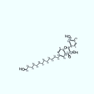 Cc1ccc(-c2oc3ccc(CCCCCCCCCCCCCO)cc3c(=O)c2O)cc1O